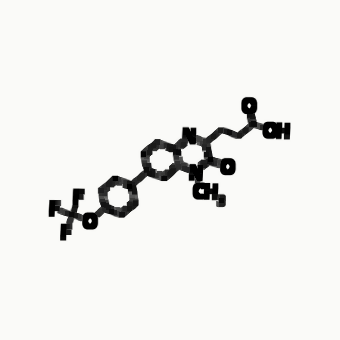 Cn1c(=O)c(CCC(=O)O)nc2ccc(-c3ccc(OC(F)(F)F)cc3)cc21